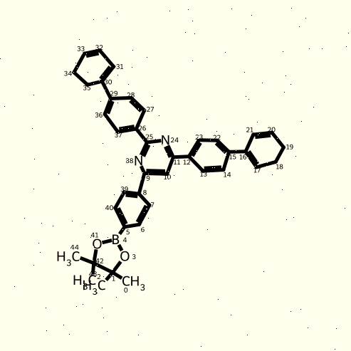 CC1(C)OB(c2ccc(-c3cc(-c4ccc(C5=CCCC=C5)cc4)nc(-c4ccc(C5=CC=CCC5)cc4)n3)cc2)OC1(C)C